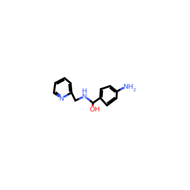 Nc1ccc(C(O)NCc2ccccn2)cc1